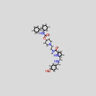 CN(CCN1CCC(OC(=O)Nc2ccccc2-c2ccccc2)CC1)C(=O)c1ccc(CNCc2ccc(O)cc2)[nH]1